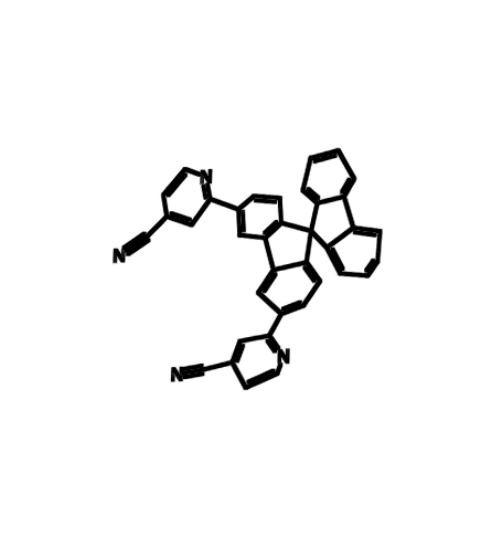 N#Cc1ccnc(-c2ccc3c(c2)-c2cc(-c4cc(C#N)ccn4)ccc2C32c3ccccc3-c3ccccc32)c1